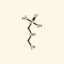 N#CCNCP(=O)(O)O